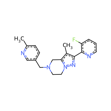 Cc1ccc(CN2CCn3nc(-c4ncccc4F)c(C)c3C2)cn1